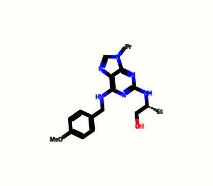 CC[C@H](CO)Nc1nc(NCc2ccc(OC)cc2)c2ncn(C(C)C)c2n1